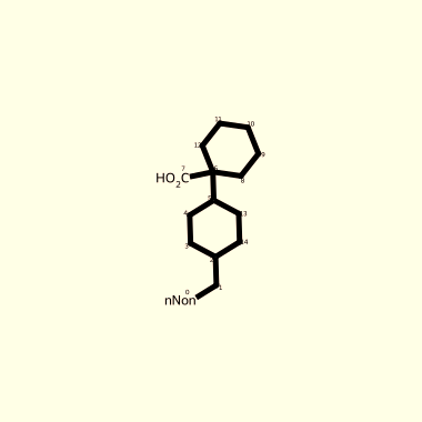 CCCCCCCCCCC1CCC(C2(C(=O)O)CCCCC2)CC1